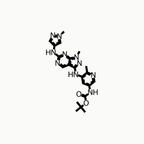 Cc1ncc(NC(=O)OC(C)(C)C)cc1Nc1nn(C)c2nc(Nc3cnn(C)c3)ncc12